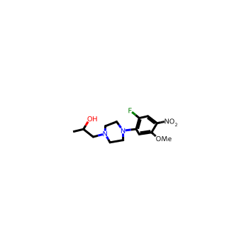 COc1cc(N2CCN(CC(C)O)CC2)c(F)cc1[N+](=O)[O-]